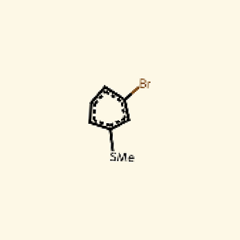 C[SH2]c1cccc(Br)c1